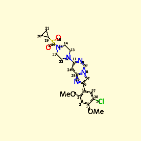 COc1cc(OC)c(-c2cn3cnc(N4CCN(S(=O)(=O)C5CC5)CC4)cc3n2)cc1Cl